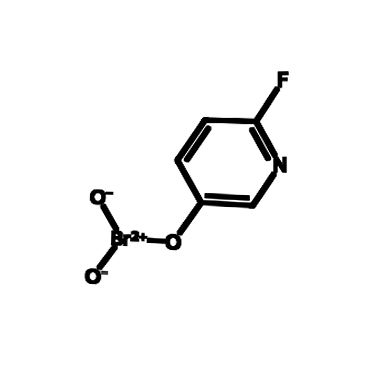 [O-][Br+2]([O-])Oc1ccc(F)nc1